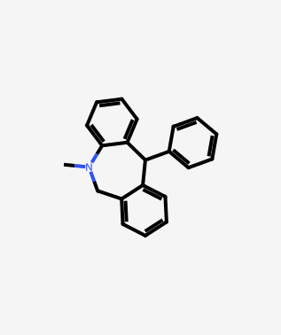 CN1Cc2ccccc2C(c2ccccc2)c2ccccc21